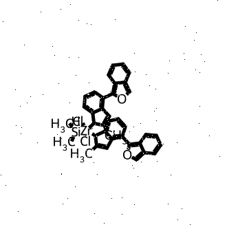 CC1=Cc2c(-c3occ4ccccc34)cccc2[CH]1[Zr]([Cl])([Cl])([CH]1C(C)=Cc2c(-c3occ4ccccc34)cccc21)[SiH](C)C